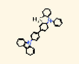 CC1CCCC=C1N(C1C=CC=CC1)C1C=CC(C2=CCC(n3c4c(c5c3C=CCC5)CCC=C4)C=C2)=CC1